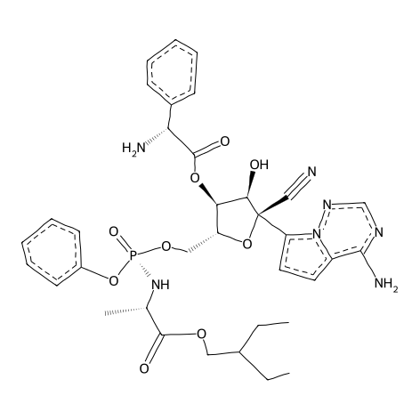 CCC(CC)COC(=O)[C@H](C)N[P@](=O)(OC[C@H]1O[C@@](C#N)(c2ccc3c(N)ncnn23)[C@H](O)[C@@H]1OC(=O)[C@H](N)c1ccccc1)Oc1ccccc1